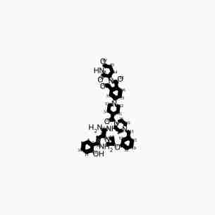 NC(N)=C(/C=C(\N)c1ccccc1O)N1CC(Oc2cccc(CN3CCN(C(=O)C4CCN(c5ccc6c(c5)C(=O)N(C5CCC(=O)NC5=O)C6=O)CC4)CC3)c2)C1